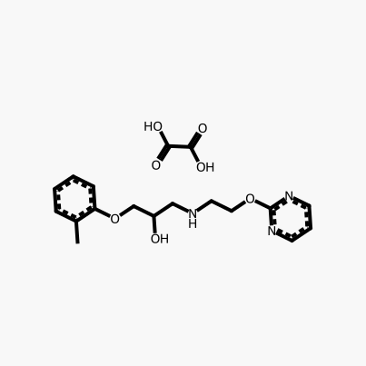 Cc1ccccc1OCC(O)CNCCOc1ncccn1.O=C(O)C(=O)O